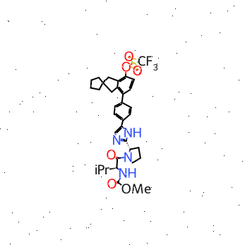 COC(=O)N[C@H](C(=O)N1CCC[C@H]1c1ncc(-c2ccc(-c3ccc(OS(=O)(=O)C(F)(F)F)c4c3CC3(CCCC3)C4)cc2)[nH]1)C(C)C